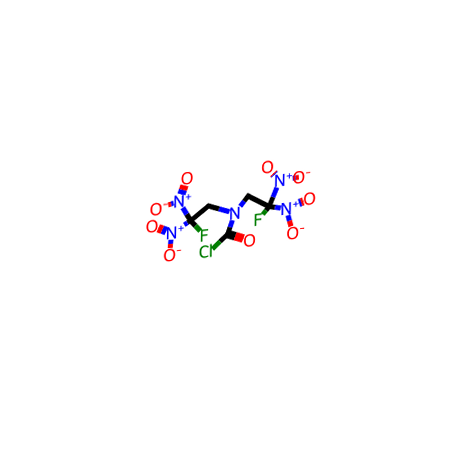 O=C(Cl)N(CC(F)([N+](=O)[O-])[N+](=O)[O-])CC(F)([N+](=O)[O-])[N+](=O)[O-]